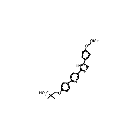 COCOc1ccc(-c2cnc(-c3ccc(-c4ccc(OCC(C)(C)C(=O)O)cc4)nc3)[nH]2)cc1